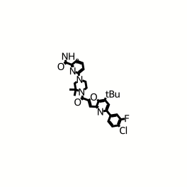 CC(C)(C)c1cc(-c2ccc(Cl)c(F)c2)nc2cc(C(=O)N3CCN(c4cccc(C(N)=O)n4)CC3(C)C)oc12